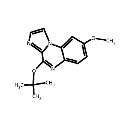 COc1ccc2nc(OC(C)(C)C)c3nccn3c2c1